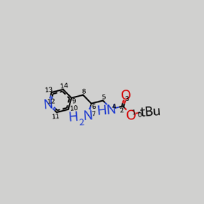 CC(C)(C)OC(=O)NC[C@@H](N)Cc1ccncc1